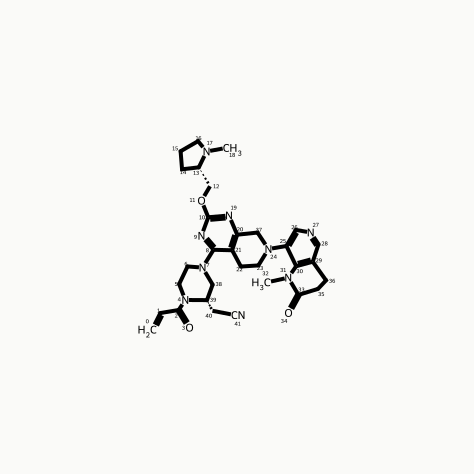 C=CC(=O)N1CCN(c2nc(OC[C@@H]3CCCN3C)nc3c2CCN(c2cncc4c2N(C)C(=O)CC4)C3)C[C@@H]1CC#N